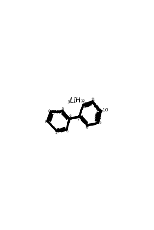 [LiH].[c]1ccccc1-c1ccccc1